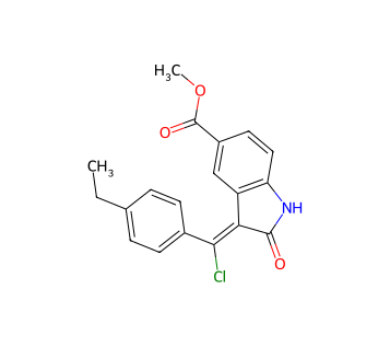 CCc1ccc(/C(Cl)=C2/C(=O)Nc3ccc(C(=O)OC)cc32)cc1